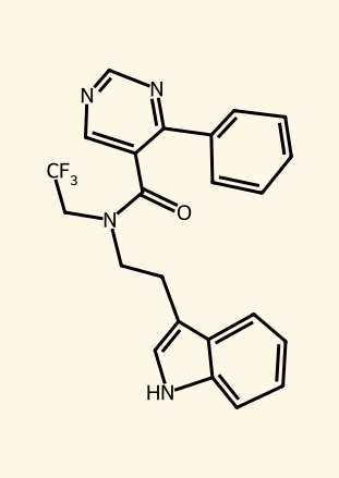 O=C(c1cncnc1-c1ccccc1)N(CCc1c[nH]c2ccccc12)CC(F)(F)F